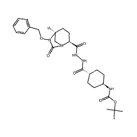 CC(C)(C)OC(=O)N[C@H]1CC[C@H](C(=O)NNC(=O)[C@@H]2CC[C@H]3CN2C(=O)N3OCc2ccccc2)CC1